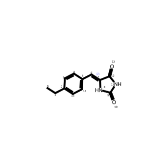 CCc1ccc(/C=C2\NC(=O)NC2=O)cc1